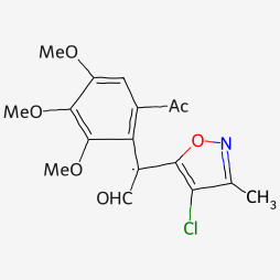 COc1cc(C(C)=O)c([C](C=O)c2onc(C)c2Cl)c(OC)c1OC